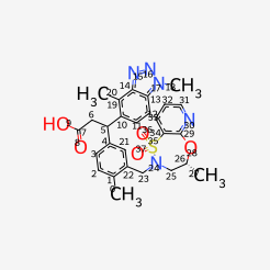 Cc1ccc(C(CC(=O)O)c2ccc3c(nnn3C)c2C)cc1CN1C[C@@H](C)Oc2ncccc2S1(=O)=O